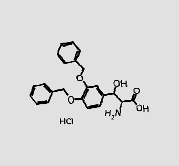 Cl.N[C@H](C(=O)O)C(O)c1ccc(OCc2ccccc2)c(OCc2ccccc2)c1